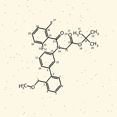 COCc1ccccc1-c1cccc(N(CC(=O)OC(C)(C)C)C(=O)c2c(F)cccc2F)c1